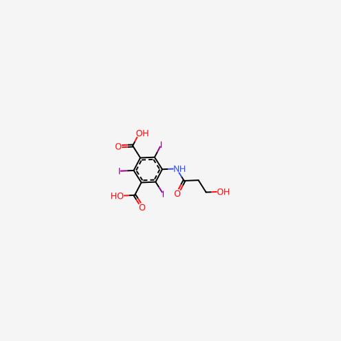 O=C(CCO)Nc1c(I)c(C(=O)O)c(I)c(C(=O)O)c1I